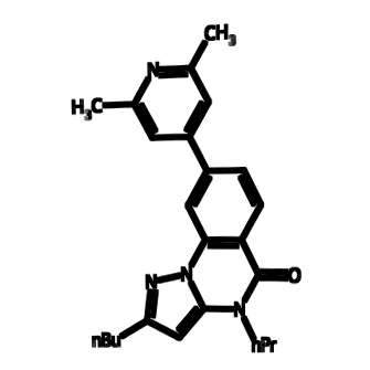 CCCCc1cc2n(CCC)c(=O)c3ccc(-c4cc(C)nc(C)c4)cc3n2n1